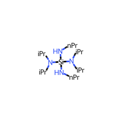 CCCN[Si](NCCC)(N(C(C)C)C(C)C)N(C(C)C)C(C)C